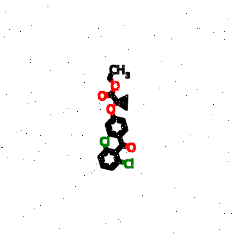 CCOC(=O)C1(Oc2ccc(C(=O)c3c(Cl)cccc3Cl)cc2)CC1